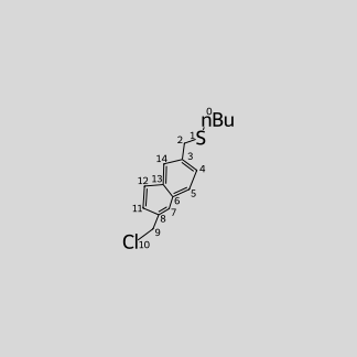 CCCCSCc1ccc2cc(CCl)ccc2c1